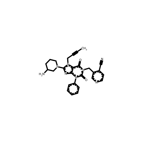 CC#CCn1c(N2CCCC(N)C2)nc2c1c(=O)n(Cc1cnccc1C#N)c(=O)n2-c1ccccc1